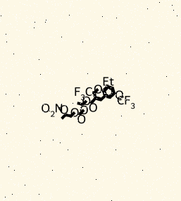 CCc1cc(OC(F)(F)F)cc2c1OC(C(F)(F)F)C(C(=O)OC(C)OC(=O)OCC(C)O[N+](=O)[O-])=C2